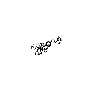 C[C@]1(C(=O)O)COCCN1S(=O)(=O)c1ccc(OCc2cncs2)cc1